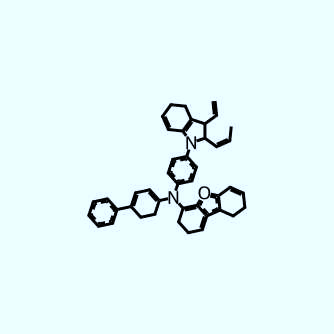 C=CC1C2=C(C=CCC2)N(c2ccc(N(C3=CC=C(c4ccccc4)CC3)C3=c4oc5c(c4=CCC3)CCC=C5)cc2)C1/C=C\C